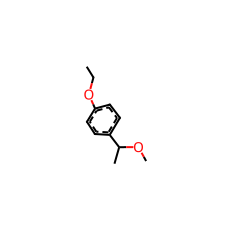 CCOc1ccc(C(C)OC)cc1